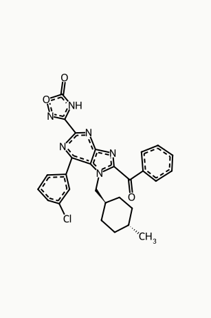 C[C@H]1CC[C@H](Cn2c(C(=O)c3ccccc3)nc3nc(-c4noc(=O)[nH]4)nc(-c4cccc(Cl)c4)c32)CC1